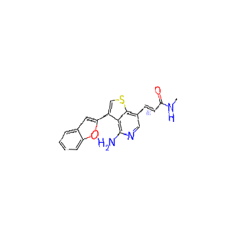 CNC(=O)/C=C/c1cnc(N)c2c(-c3cc4ccccc4o3)csc12